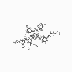 CCCC#Cc1cccc(CNCC(OC(=O)N2CCNCC2)[C@H](Cc2cc(F)cc(F)c2)NC(=O)c2cc(C)cc(C(=O)N(CCC)CCC)c2)c1